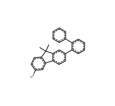 CC1(C)c2ccc(Br)cc2-c2ccc(-c3ccccc3-c3ccccc3)cc21